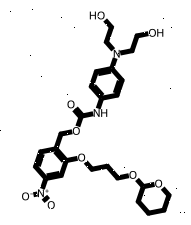 O=C(Nc1ccc(N(CCO)CCO)cc1)OCc1ccc([N+](=O)[O-])cc1OCCCOC1CCCCO1